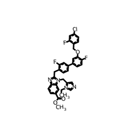 CCn1cncc1Cn1c(Cc2ccc(-c3ccc(F)c(OCc4ccc(Cl)cc4F)c3)cc2F)nc2ccc(C(=O)OC)cc21